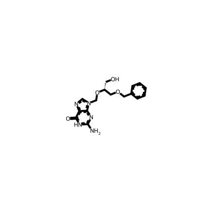 Nc1nc2c(ncn2CO[C@H](CO)COCc2ccccc2)c(=O)[nH]1